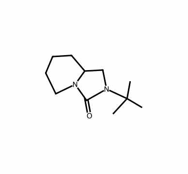 CC(C)(C)N1CC2CCCCN2C1=O